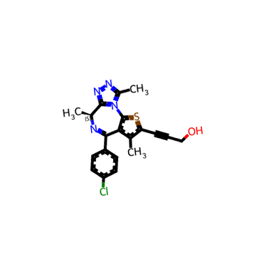 Cc1c(C#CCO)sc2c1C(c1ccc(Cl)cc1)=N[C@@H](C)c1nnc(C)n1-2